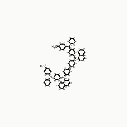 Cc1ccc(N(c2ccccc2)c2ccc(N(c3ccc(-c4ccc(N(c5ccc(N(c6ccccc6)c6ccc(C)cc6)cc5)c5cccc6ccccc56)cc4)cc3)c3cccc4ccccc34)cc2)cc1